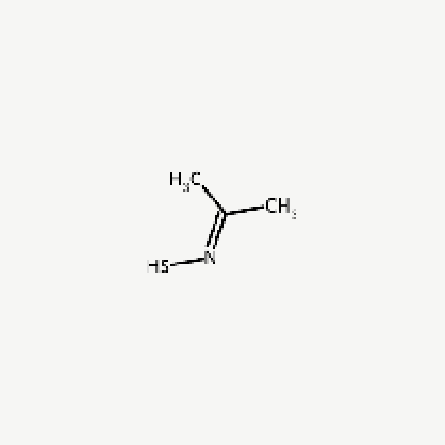 CC(C)=NS